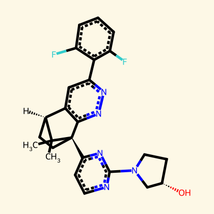 CC1(C)[C@H]2CC[C@@]1(c1ccnc(N3CC[C@H](O)C3)n1)c1nnc(-c3c(F)cccc3F)cc12